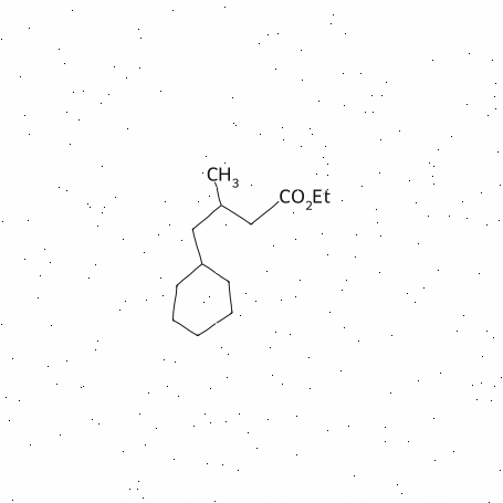 CCOC(=O)CC(C)CC1CCCCC1